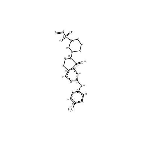 C=CS(=O)(=O)N1CCCC(N2CCc3ccc(Oc4ccc(C(F)(F)F)cc4)cc3C2=O)C1